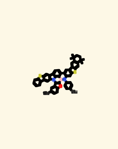 CC(C)(C)c1ccc(N2B3c4oc5ccc(C(C)(C)C)cc5c4-n4c5cc6c(cc5c5ccc(c3c54)-c3cc4c(cc32)sc2cc3c(cc24)C(C)(C)CCC3(C)C)sc2ccccc26)cc1